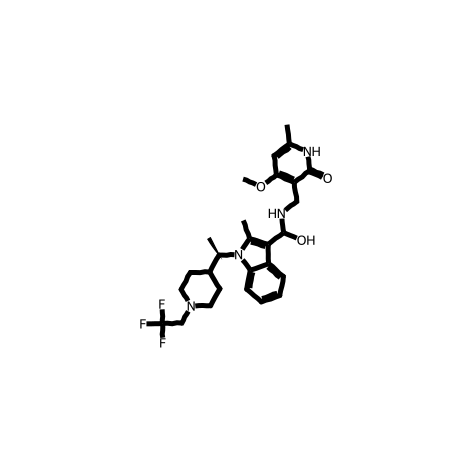 COc1cc(C)[nH]c(=O)c1CNC(O)c1c(C)n([C@H](C)C2CCN(CC(F)(F)F)CC2)c2ccccc12